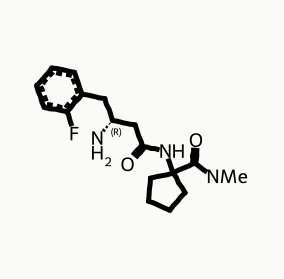 CNC(=O)C1(NC(=O)C[C@H](N)Cc2ccccc2F)CCCC1